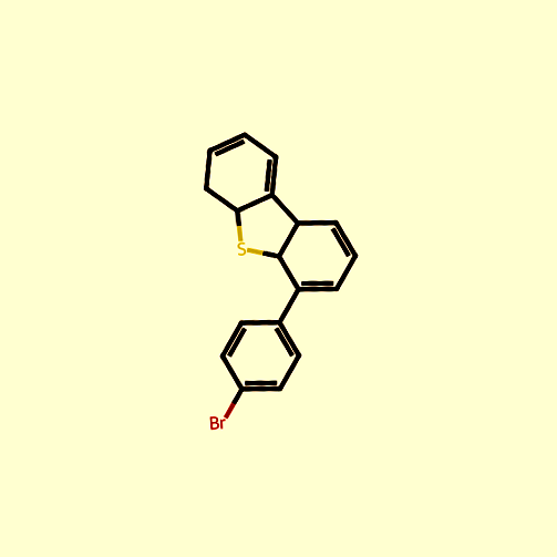 Brc1ccc(C2=CC=CC3C4=CC=CCC4SC23)cc1